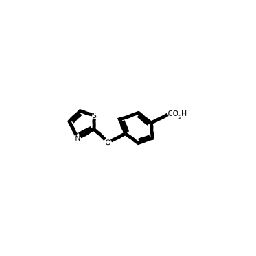 O=C(O)c1ccc(Oc2nccs2)cc1